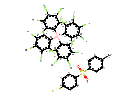 CC(=O)c1ccc(S(=O)(=O)c2ccc([SH2+])cc2)cc1.Fc1c(F)c(F)c([B-](c2c(F)c(F)c(F)c(F)c2F)(c2c(F)c(F)c(F)c(F)c2F)c2c(F)c(F)c(F)c(F)c2F)c(F)c1F